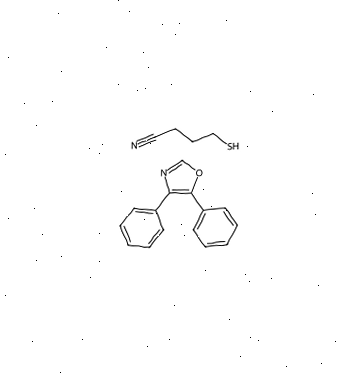 N#CCCCS.c1ccc(-c2ncoc2-c2ccccc2)cc1